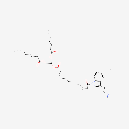 CCCCCCCCCCCCCCCC(=O)OCC(COC(=O)CCCCCCCCCCCCCCC)OC(=O)CC(C)CCCCCCC(C)CC(=O)n1cc(CCN(C)C)c2cc(OC)ccc21